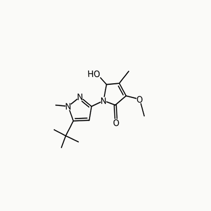 COC1=C(C)C(O)N(c2cc(C(C)(C)C)n(C)n2)C1=O